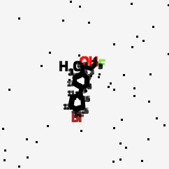 CC(O)(CCF)c1ccc(-c2ccc(Br)cc2)cc1